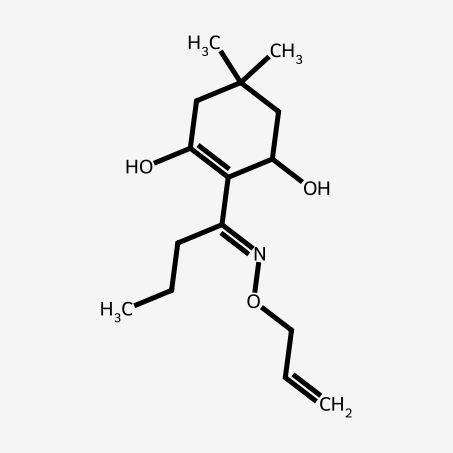 C=CCON=C(CCC)C1=C(O)CC(C)(C)CC1O